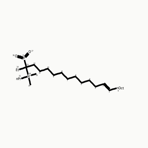 CCCCCCCCC=CCCCCCCCCCCC(CC)(P(=O)=O)[N+](C)(C)CCC